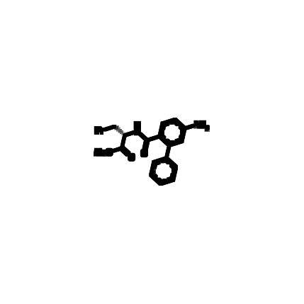 COC(=O)[C@H](CC(C)C)NC(=O)c1ccc(N)cc1-c1ccccc1